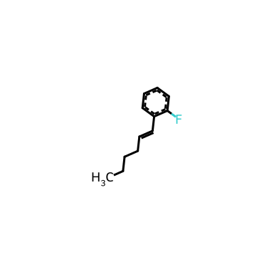 CCCCC=Cc1ccccc1F